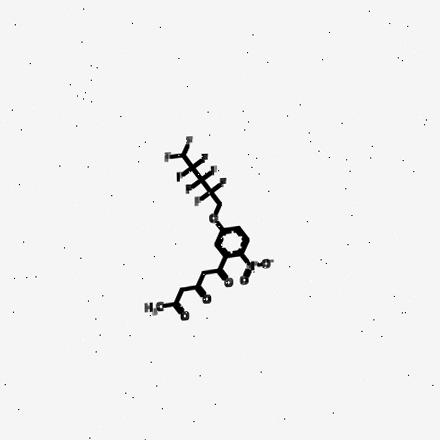 CC(=O)CC(=O)CC(=O)c1cc(OCC(F)(F)C(F)(F)C(F)(F)C(F)F)ccc1[N+](=O)[O-]